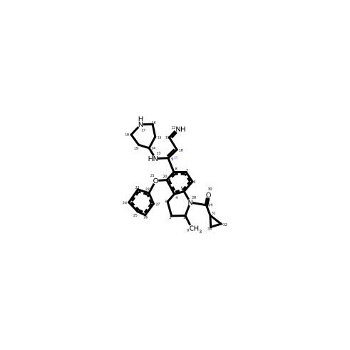 CC1CCc2c(ccc(/C(=C/C=N)NC3CCNCC3)c2Oc2ccccc2)N1C(=O)C1CC1